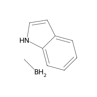 BC.c1ccc2[nH]ccc2c1